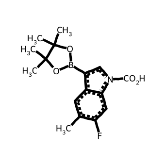 Cc1cc2c(B3OC(C)(C)C(C)(C)O3)cn(C(=O)O)c2cc1F